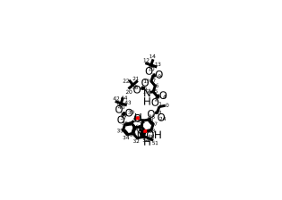 CC(OC(=O)C(CCC(=O)OC(C)(C)C)NC(=O)OC(C)(C)C)C(=O)OC1=CC[C@@]2(O)[C@H]3Cc4ccc(OC(=O)OC(C)(C)C)c5c4[C@@]2(CCN3C)[C@H]1O5